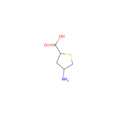 NC1CSC(C(=O)O)C1